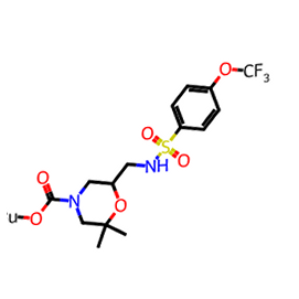 CC(C)(C)OC(=O)N1CC(CNS(=O)(=O)c2ccc(OC(F)(F)F)cc2)OC(C)(C)C1